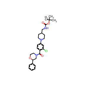 CC(C)(C)OC(=O)NCC1CCN(c2ccc(C(=O)N3CCOC(c4ccccc4)C3)c(Cl)c2)CC1